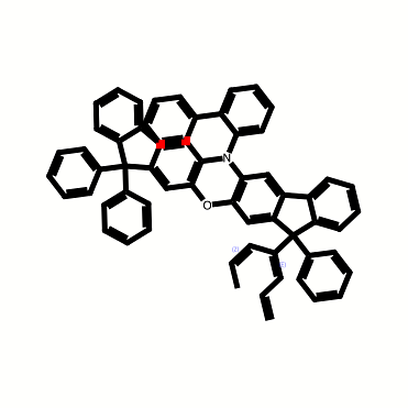 C=C/C=C(\C=C/C)C1(c2ccccc2)c2ccccc2-c2cc3c(cc21)Oc1cc2c(cc1N3c1ccccc1-c1ccccc1)-c1ccccc1C2(c1ccccc1)c1ccccc1